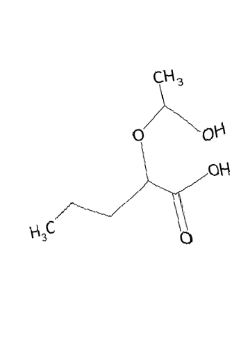 CCCC(OC(C)O)C(=O)O